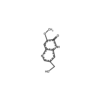 COc1cc2ncc(CO)cc2[nH]c1=O